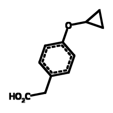 O=C(O)Cc1ccc(OC2CC2)cc1